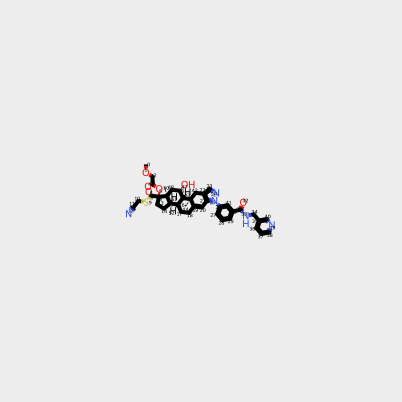 COCC(=O)O[C@]1(C(=O)SCC#N)CC[C@H]2[C@@H]3CCC4=Cc5c(cnn5-c5cccc(C(=O)NCc6cccnc6)c5)C[C@]4(C)[C@H]3[C@@H](O)C[C@@]21C